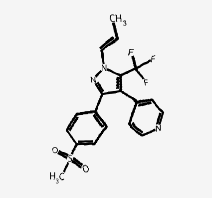 CC=Cn1nc(-c2ccc(S(C)(=O)=O)cc2)c(-c2ccncc2)c1C(F)(F)F